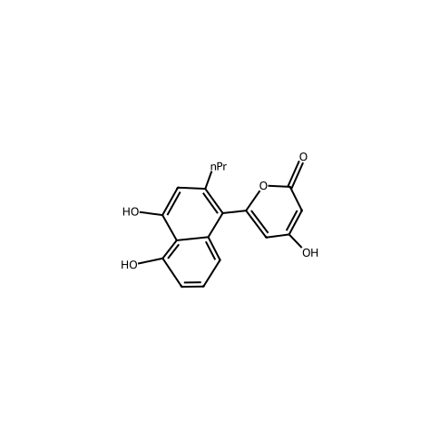 CCCc1cc(O)c2c(O)cccc2c1-c1cc(O)cc(=O)o1